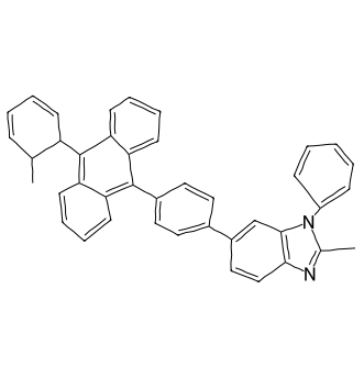 Cc1nc2ccc(-c3ccc(-c4c5ccccc5c(C5C=CC=CC5C)c5ccccc45)cc3)cc2n1-c1ccccc1